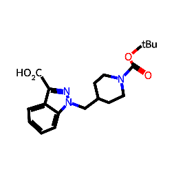 CC(C)(C)OC(=O)N1CCC(Cn2nc(C(=O)O)c3ccccc32)CC1